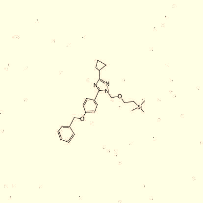 C[Si](C)(C)CCOCn1nc(C2CCC2)nc1-c1ccc(OCc2ccccc2)cc1